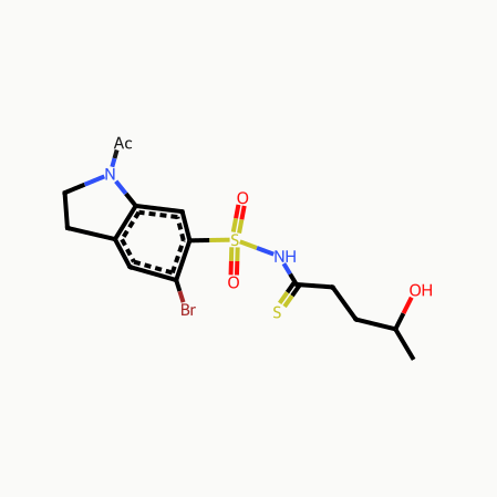 CC(=O)N1CCc2cc(Br)c(S(=O)(=O)NC(=S)CCC(C)O)cc21